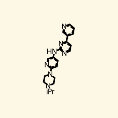 CC(C)N1CCN(c2ccc(Nc3nccc(-c4cccnc4)n3)cn2)CC1